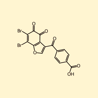 O=C1C(=O)c2c(C(=O)c3ccc(C(=O)O)cc3)coc2C(Br)=C1Br